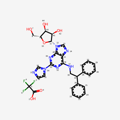 O=C(O)C(F)(F)F.OC[C@H]1O[C@@H](n2cnc3c(NCC(c4ccccc4)c4ccccc4)nc(-n4ccnc4)nc32)[C@H](O)[C@@H]1O